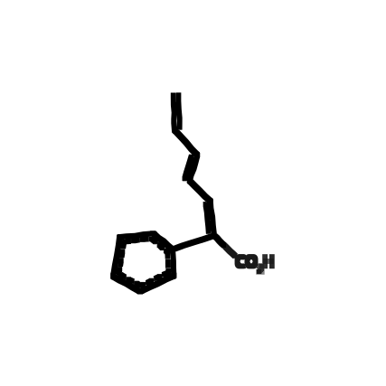 C=C/C=C/C=C(/C(=O)O)c1ccccc1